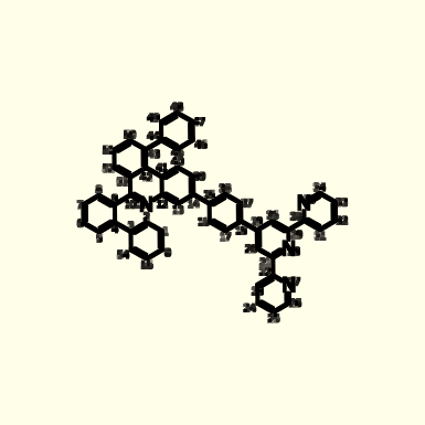 c1ccc(-c2ccccc2-c2nc3cc(-c4ccc(-c5cc(-c6ccccn6)nc(-c6ccccn6)c5)cc4)ccc3c3c(-c4ccccc4)cccc23)cc1